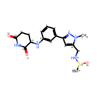 Cn1nc(-c2cccc(NC3CCC(=O)NC3=O)c2)cc1CN[S+]([O-])C(C)(C)C